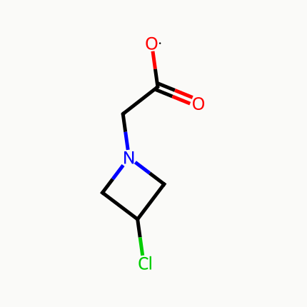 [O]C(=O)CN1CC(Cl)C1